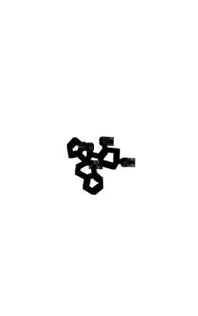 O=C(c1ccc(O)cc1O)C1(c2ccco2)CCc2ccccc2N1